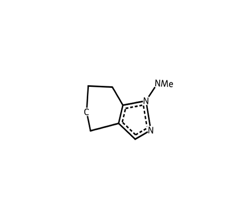 CNn1ncc2c1CCCC2